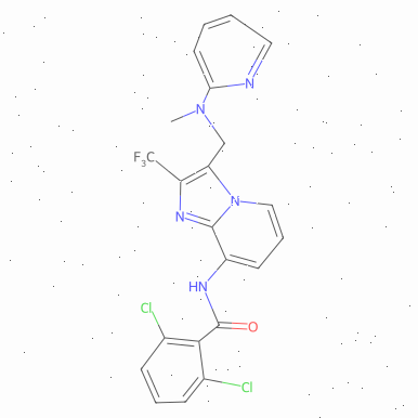 CN(Cc1c(C(F)(F)F)nc2c(NC(=O)c3c(Cl)cccc3Cl)cccn12)c1ccccn1